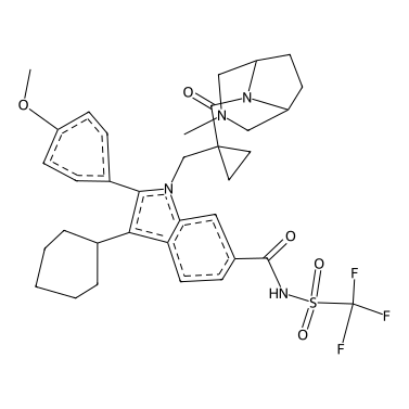 COc1ccc(-c2c(C3CCCCC3)c3ccc(C(=O)NS(=O)(=O)C(F)(F)F)cc3n2CC2(C(=O)N3C4CCC3CN(C)C4)CC2)cc1